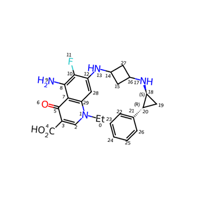 CCn1cc(C(=O)O)c(=O)c2c(N)c(F)c(NC3CC(N[C@H]4C[C@@H]4c4ccccc4)C3)cc21